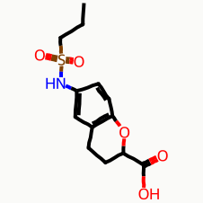 CCCS(=O)(=O)Nc1ccc2c(c1)CCC(C(=O)O)O2